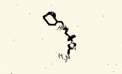 CC(C)(CNCC1CCCCC1)n1cnc(N)c1